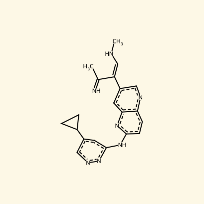 CN/C=C(\C(C)=N)c1cnc2ccc(Nc3cc(C4CC4)cnn3)nc2c1